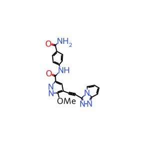 COc1nnc(C(=O)Nc2ccc(C(N)=O)cc2)cc1C#Cc1nnc2ccccn12